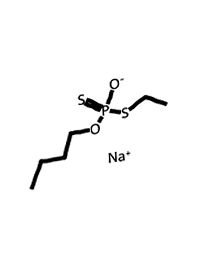 CCCCOP([O-])(=S)SCC.[Na+]